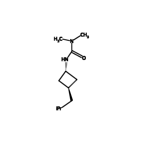 CC(C)C[C@H]1C[C@H](NC(=O)N(C)C)C1